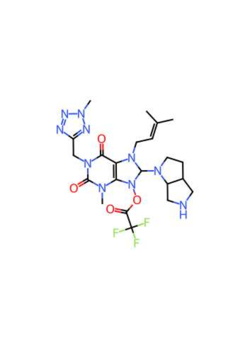 CC(C)=CCN1c2c(n(C)c(=O)n(Cc3nnn(C)n3)c2=O)N(OC(=O)C(F)(F)F)C1N1CCC2CNCC21